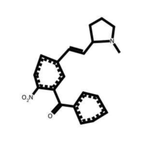 CN1CCCC1C=Cc1ccc([N+](=O)[O-])c(C(=O)c2ccccc2)c1